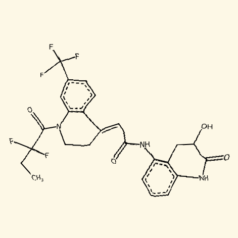 CCC(F)(F)C(=O)N1CCC(=CC(=O)Nc2cccc3c2CC(O)C(=O)N3)c2ccc(C(F)(F)F)cc21